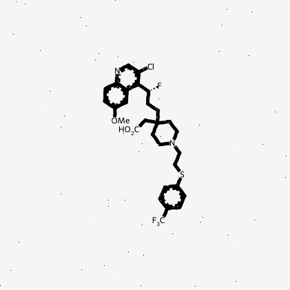 COc1ccc2ncc(Cl)c([C@H](F)CCC3(CC(=O)O)CCN(CCSc4ccc(C(F)(F)F)cc4)CC3)c2c1